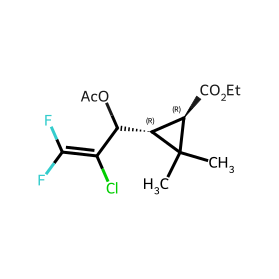 CCOC(=O)[C@@H]1[C@@H](C(OC(C)=O)C(Cl)=C(F)F)C1(C)C